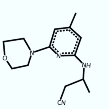 Cc1cc(NC(C)CC#N)nc(N2CCOCC2)c1